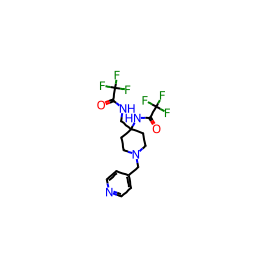 O=C(NCC1(NC(=O)C(F)(F)F)CCN(Cc2ccncc2)CC1)C(F)(F)F